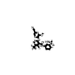 COc1nc(C#N)cnc1Oc1nnc(C(F)(F)F)c(C)c1C(=O)Nc1cccc(S(C)(=N)=O)c1